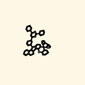 c1ccc(-c2cc(-c3cccc(-n4c5ccc6c(c5c5ccc7ccccc7c54)Oc4ccccc4C64c5ccccc5-c5ccccc54)c3)nc(-c3ccccc3)n2)cc1